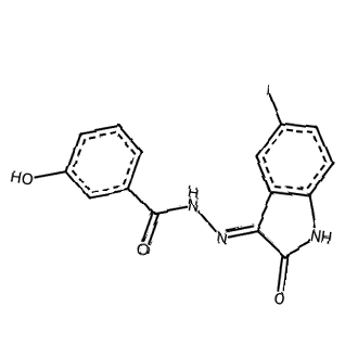 O=C1Nc2ccc(I)cc2/C1=N\NC(=O)c1cccc(O)c1